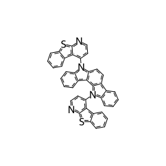 c1ccc2c(c1)sc1nccc(-n3c4ccccc4c4c3ccc3c5ccccc5n(-c5ccnc6sc7ccccc7c56)c34)c12